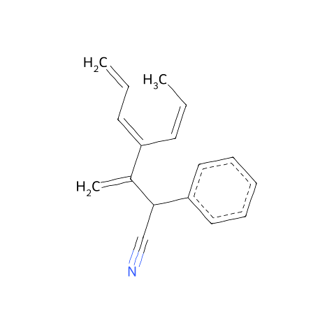 C=C/C=C(\C=C/C)C(=C)C(C#N)c1ccccc1